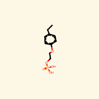 CCc1ccc(OCCOP(=O)(O)O)cc1